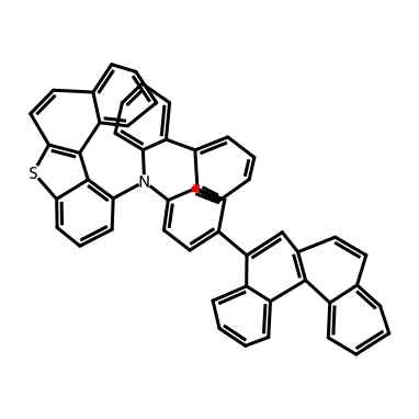 c1ccc(-c2ccccc2N(c2ccc(-c3cc4ccc5ccccc5c4c4ccccc34)cc2)c2cccc3sc4ccc5ccccc5c4c23)cc1